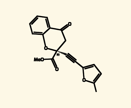 COC(=O)[C@]1(C#Cc2ccc(C)o2)CC(=O)c2ccccc2O1